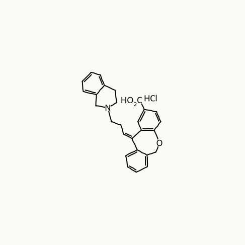 Cl.O=C(O)c1ccc2c(c1)/C(=C\CCN1CCc3ccccc3C1)c1ccccc1CO2